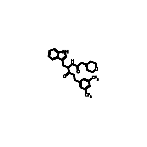 O=C(CN1CCOCC1)NC(Cc1c[nH]c2ccccc12)C(=O)CCc1cc(C(F)(F)F)cc(C(F)(F)F)c1